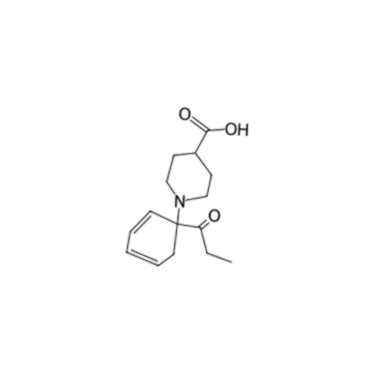 CCC(=O)C1(N2CCC(C(=O)O)CC2)C=CC=CC1